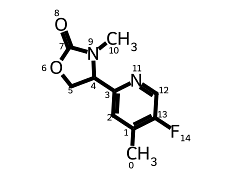 Cc1cc(C2COC(=O)N2C)ncc1F